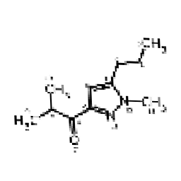 CCCc1cc(C(=O)C(C)C)nn1C